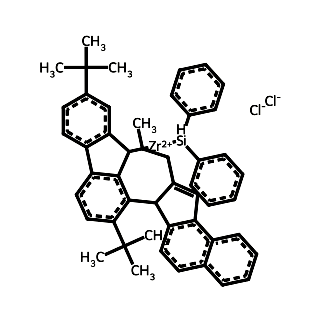 CCCC1=Cc2c(ccc3ccccc23)C1c1c(C(C)(C)C)ccc2c1[CH]([Zr+2][SiH](c1ccccc1)c1ccccc1)c1cc(C(C)(C)C)ccc1-2.[Cl-].[Cl-]